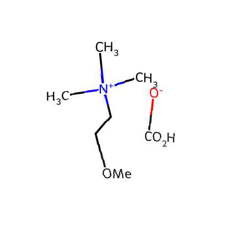 COCC[N+](C)(C)C.O=C([O-])O